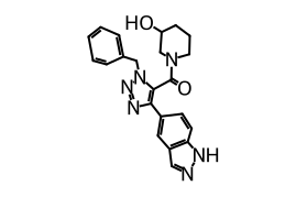 O=C(c1c(-c2ccc3[nH]ncc3c2)nnn1Cc1ccccc1)N1CCCC(O)C1